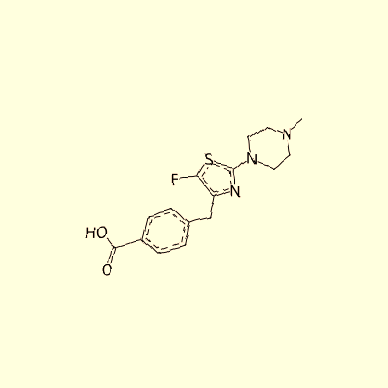 CN1CCN(c2nc(Cc3ccc(C(=O)O)cc3)c(F)s2)CC1